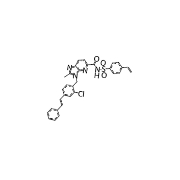 C=Cc1ccc(S(=O)(=O)NC(=O)c2ccc3nc(C)n(Cc4ccc(/C=C/c5ccccc5)cc4Cl)c3n2)cc1